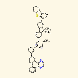 CC/C=C\C(=C/Cc1ccc2c(c1)C(C)(C)c1cc(-c3cccc4c3SC3C=CC=CC43)ccc1-2)c1cccc(-c2ccc3c4ccccc4c4nccnc4c3c2)c1